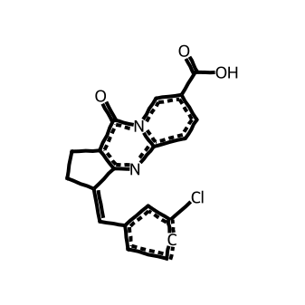 O=C(O)c1ccc2nc3c(c(=O)n2c1)CC/C3=C/c1cccc(Cl)c1